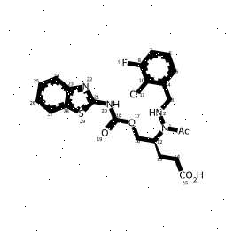 CC(=O)N(NCc1cccc(F)c1Cl)[C@@H](CCC(=O)O)COC(=O)Nc1nc2ccccc2s1